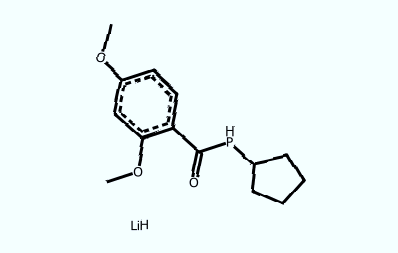 COc1ccc(C(=O)P[C]2CCCC2)c(OC)c1.[LiH]